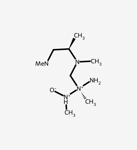 CNC[C@@H](C)N(C)C[N@@+](C)(N)[NH+](C)[O-]